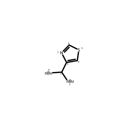 CCCCC(CCCC)c1cscn1